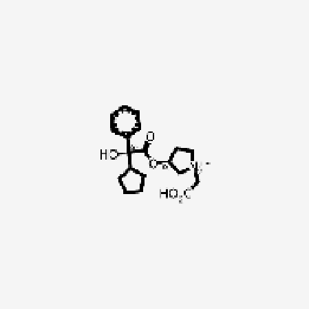 C[N@@+]1(CC(=O)O)CC[C@H](OC(=O)[C@@](O)(c2ccccc2)C2CCCC2)C1